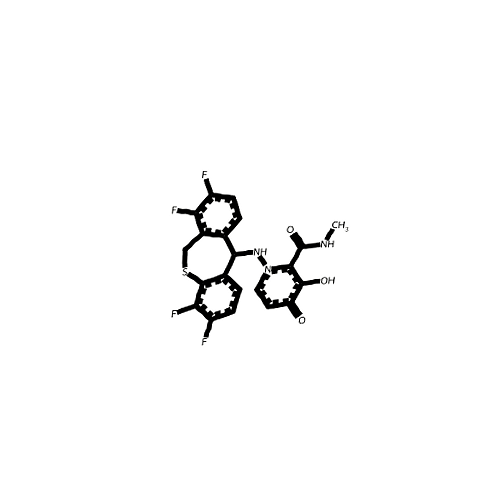 CNC(=O)c1c(O)c(=O)ccn1NC1c2ccc(F)c(F)c2CSc2c1ccc(F)c2F